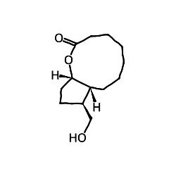 O=C1CCCCCC[C@@H]2[C@@H](CO)CC[C@@H]2O1